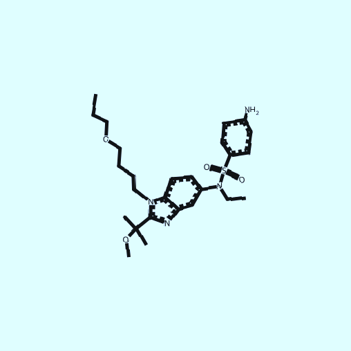 CCCOCCCCn1c(C(C)(C)OC)nc2cc(N(CC)S(=O)(=O)c3ccc(N)cc3)ccc21